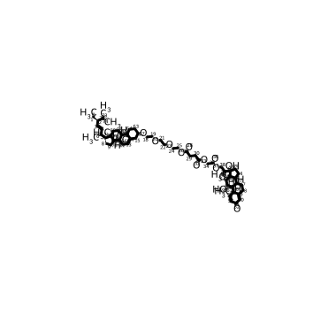 CC[C@H](/C=C/[C@@H](C)[C@H]1CC[C@H]2[C@@H]3CC=C4C[C@@H](OCCOCCOCCOC(=O)CCC(=O)OCC(=O)OCC(=O)[C@@]5(O)CC[C@H]6[C@@H]7CCC8=CC(=O)C=C[C@]8(C)[C@H]7[C@@H](O)C[C@@]65C)CC[C@]4(C)[C@H]3CC[C@]12C)C(C)C